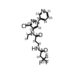 CCN(C(=O)CCNC(=O)CC(F)(F)F)c1cn(-c2cccnc2)nc1Cl